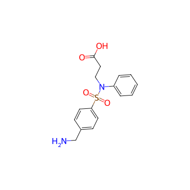 NCc1ccc(S(=O)(=O)N(CCC(=O)O)c2ccccc2)cc1